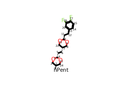 CCCCC[C@H]1CO[C@H](CC[C@H]2CO[C@H](CCc3ccc(F)c(F)c3)OC2)OC1